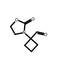 O=CC1(N2CCOC2=O)CCC1